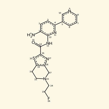 Nc1ccc(-c2cccnc2)nc1NC(=O)c1nc2c(s1)CCN(CCF)C2